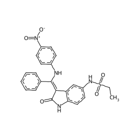 CCS(=O)(=O)Nc1ccc2c(c1)C(=C(Nc1ccc([N+](=O)[O-])cc1)c1ccccc1)C(=O)N2